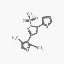 Cc1coc(C)c1C1=NN(S(C)(=O)=O)C(c2cccs2)C1